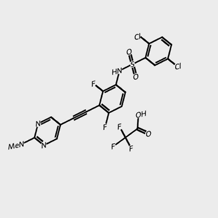 CNc1ncc(C#Cc2c(F)ccc(NS(=O)(=O)c3cc(Cl)ccc3Cl)c2F)cn1.O=C(O)C(F)(F)F